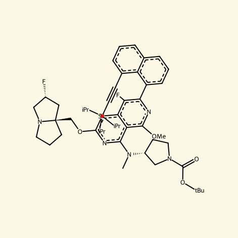 COc1nc(-c2cccc3cccc(C#C[Si](C(C)C)(C(C)C)C(C)C)c23)c(F)c2nc(OC[C@@]34CCCN3C[C@H](F)C4)nc(N(C)[C@@H]3CCN(C(=O)OC(C)(C)C)C3)c12